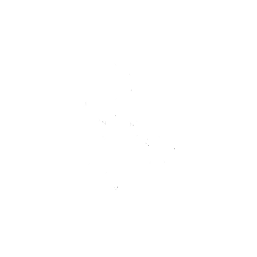 COc1ccc2nc(-c3ccccc3F)nc(N3CCCC3)c2c1